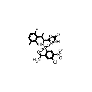 Cc1ccc(F)c(C(C)C(NS(=O)(=O)c2cc([N+](=O)[O-])c(Cl)cc2C(N)=O)c2n[nH]c(=O)o2)c1C